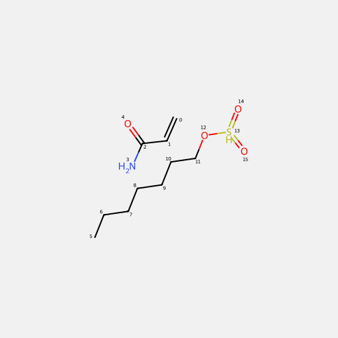 C=CC(N)=O.CCCCCCCO[SH](=O)=O